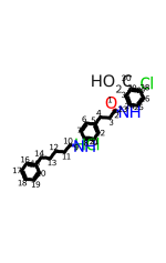 Cl.O=C(CCc1ccc(NCCCCCc2ccccc2)cc1)Nc1ccc(Cl)c(C(=O)O)c1